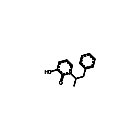 CC(Cc1ccccc1)n1cccc(O)c1=O